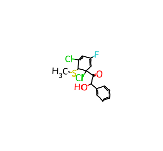 CSC1C(Cl)=CC(F)=CC1(Cl)C(=O)C(O)c1ccccc1